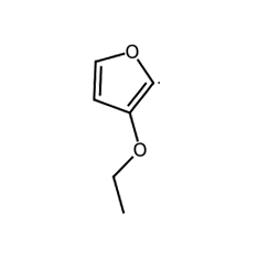 CCOc1[c]occ1